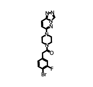 O=C(Cc1ccc(Br)c(F)c1)N1CCN(c2ccc3nncn3n2)CC1